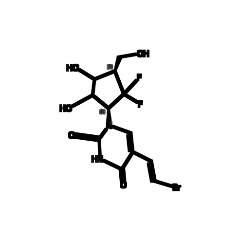 O=c1[nH]c(=O)n([C@H]2C(O)C(O)[C@@H](CO)C2(F)F)cc1C=CBr